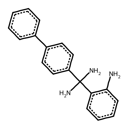 Nc1ccccc1C(N)(N)c1ccc(-c2ccccc2)cc1